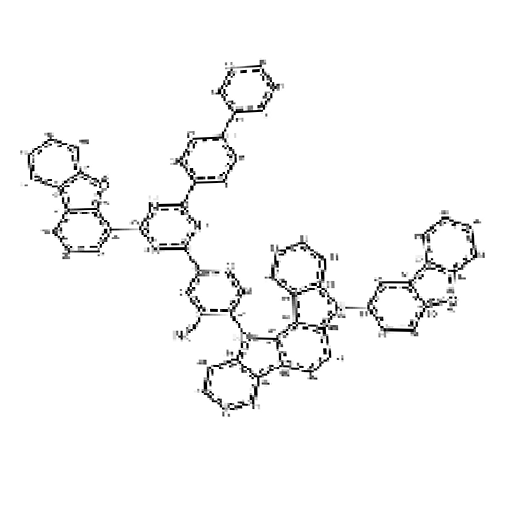 N#Cc1cc(-c2nc(-c3ccc(-c4ccccc4)cc3)nc(-c3cccc4c3oc3ccccc34)n2)ccc1-n1c2ccccc2c2ccc3c(c4ccccc4n3-c3ccc4oc5ccccc5c4c3)c21